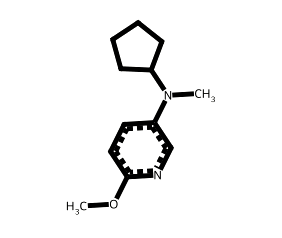 COc1ccc(N(C)C2CCCC2)cn1